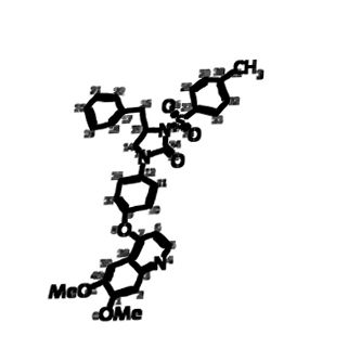 COc1cc2nccc(Oc3ccc(N4CC(Cc5ccccc5)N(S(=O)(=O)c5ccc(C)cc5)C4=O)cc3)c2cc1OC